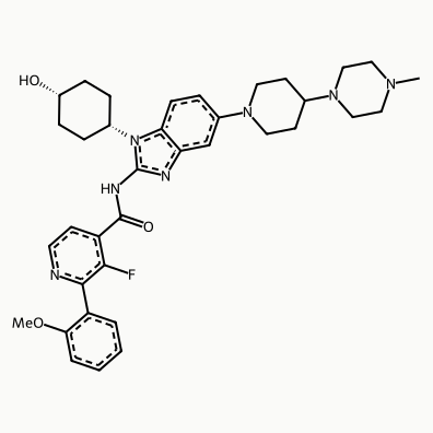 COc1ccccc1-c1nccc(C(=O)Nc2nc3cc(N4CCC(N5CCN(C)CC5)CC4)ccc3n2[C@H]2CC[C@@H](O)CC2)c1F